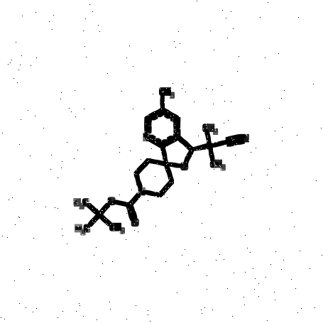 Cc1cnc2c(c1)[C@@H](C(C)(C)C#N)OC21CCN(C(=O)OC(C)(C)C)CC1